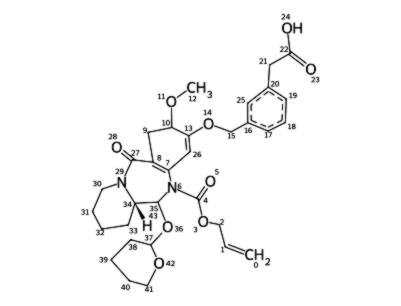 C=CCOC(=O)N1C2=C(CC(OC)C(OCc3cccc(CC(=O)O)c3)=C2)C(=O)N2CCCC[C@H]2C1OC1CCCCO1